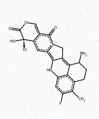 CC[C@@]1(O)C(=O)OC=c2c1cc1n(c2=O)CC2=C3c4c(cc(F)c(C)c4CCC3N)NC=12